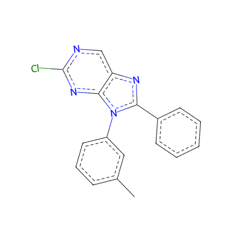 Cc1cccc(-n2c(-c3ccccc3)nc3cnc(Cl)nc32)c1